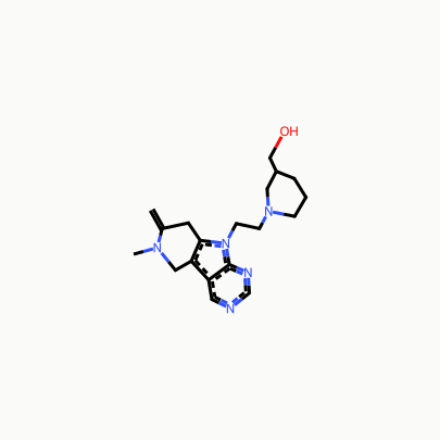 C=C1Cc2c(c3cncnc3n2CCN2CCCC(CO)C2)CN1C